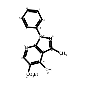 CCOC(=O)c1cnc2c(c(C)nn2-c2ccccc2)c1O